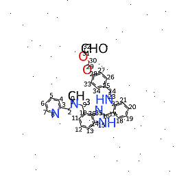 CN(Cc1ccccn1)Cc1cccc2[nH]c(-c3ccccc3NCc3ccc(OCOC=O)cc3)nc12